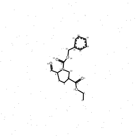 CCOC(=O)C1CCC(C=O)N(C(=O)OCc2ccccc2)C1